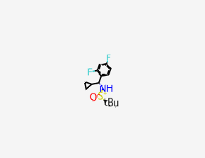 CC(C)(C)[S@@+]([O-])N[C@@H](c1ccc(F)cc1F)C1CC1